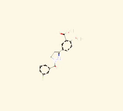 COc1ccc(C2=NN(C(=O)c3cccc(F)c3)CC2)cc1C(=O)O